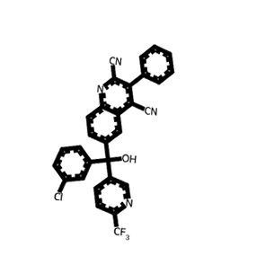 N#Cc1nc2ccc(C(O)(c3ccc(C(F)(F)F)nc3)c3cccc(Cl)c3)cc2c(C#N)c1-c1ccccc1